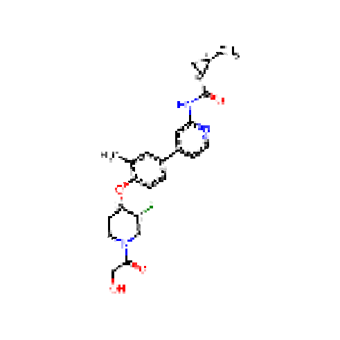 Cc1cc(-c2ccnc(NC(=O)[C@@H]3C[C@H]3C)c2)ccc1O[C@H]1CCN(C(=O)CO)C[C@H]1F